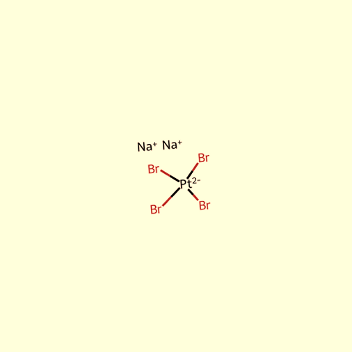 [Br][Pt-2]([Br])([Br])[Br].[Na+].[Na+]